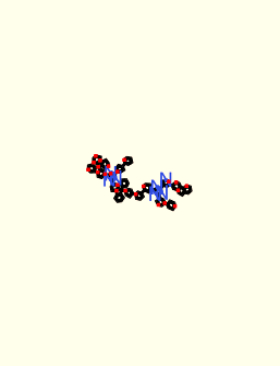 c1ccc(-c2ccc(-c3nc(-c4ccc5c(c4)C(c4ccccc4)(c4ccccc4)c4ccccc4-5)nc(-c4ccc5c(c4)C(c4ccccc4)(c4ccc(-c6cccc(-c7cccc(-c8nc(-c9cccc(-c%10ccccc%10)c9)nc(-c9cncc(-c%10ccc%11c(ccc%12ccccc%12%11)c%10)c9)n8)c7)c6)cc4)c4ccccc4-5)n3)cc2)cc1